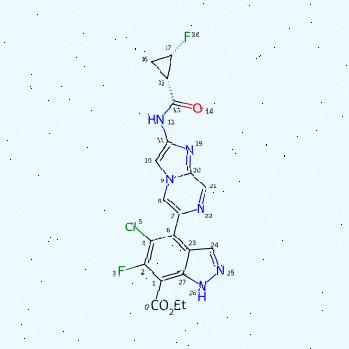 CCOC(=O)c1c(F)c(Cl)c(-c2cn3cc(NC(=O)[C@@H]4C[C@@H]4F)nc3cn2)c2cn[nH]c12